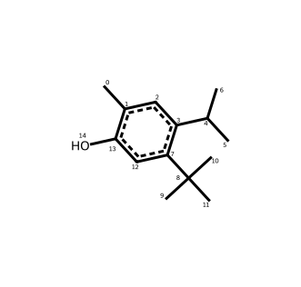 Cc1cc(C(C)C)c(C(C)(C)C)cc1O